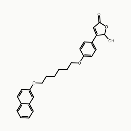 O=C1C=C(c2ccc(OCCCCCCOc3ccc4ccccc4c3)cc2)C(O)O1